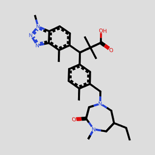 CCC1CN(Cc2cc(C(c3ccc4c(nnn4C)c3C)C(C)(C)C(=O)O)ccc2C)CC(=O)N(C)C1